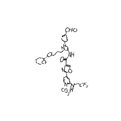 O=Cc1ccc(-n2cc(NC(=O)c3coc(-c4ccnc(N(CC(F)(F)F)C(=O)O)c4)n3)c(CCCOC3CCCCO3)n2)cc1